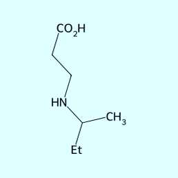 CCC(C)NCCC(=O)O